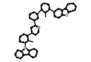 Cc1c(-c2cccc(-c3cc(-c4cccc(-n5c6ccccc6c6ccccc65)c4C)ccn3)c2)cccc1-c1ccc2oc3ccccc3c2c1